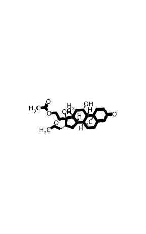 CCC[C@H]1C[C@H]2[C@@H]3CCC4=CC(=O)C=C[C@]4(C)[C@H]3[C@@H](O)C[C@]2(C)[C@@]1(O)C(=O)COC(C)=O